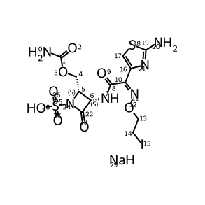 NC(=O)OC[C@@H]1[C@H](NC(=O)C(=NOCCI)c2csc(N)n2)C(=O)N1S(=O)(=O)O.[NaH]